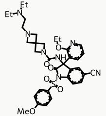 CCOc1ncccc1C1(NC(=O)N2CC3(CN(CCN(CC)CC)C3)C2)C(=O)N(S(=O)(=O)c2ccc(OC)cc2)c2ccc(C#N)cc21